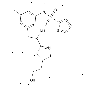 Cc1cc2c(c(N(C)S(=O)(=O)c3cccs3)c1)NC(C1=NCC(CCO)S1)C2